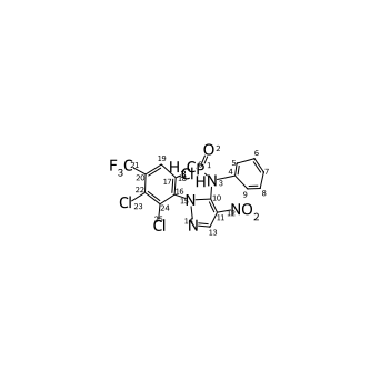 C[PH](=O)N(c1ccccc1)c1c([N+](=O)[O-])cnn1-c1c(Cl)cc(C(F)(F)F)c(Cl)c1Cl